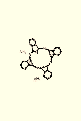 [AlH3].[AlH3].[Cu].c1ccc2c(c1)-c1nc-2nc2[nH]c(nc3nc(nc4[nH]c(n1)c1ccccc41)-c1ccccc1-3)c1ccccc21